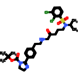 CC(C)N(CCCC(=O)CNCCc1ccc(C2=NCCN2C(=O)OC(C)(C)C)cc1)S(=O)(=O)c1cccc(Cl)c1Cl